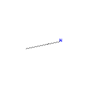 CCCCCCCCCCCCCCCCC=CCCCCCCCC#N